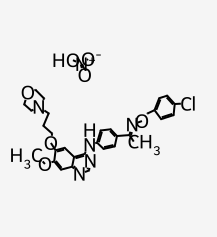 COc1cc2ncnc(Nc3ccc(C(C)=NOCc4ccc(Cl)cc4)cc3)c2cc1OCCCN1CCOCC1.O=[N+]([O-])O